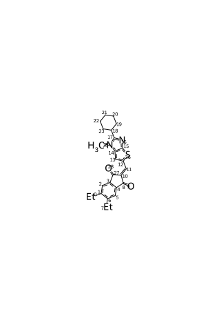 CCc1cc2c(cc1CC)C(=O)C(=Cc1cc3c(nc(C4CCCCC4)n3C)s1)C2=O